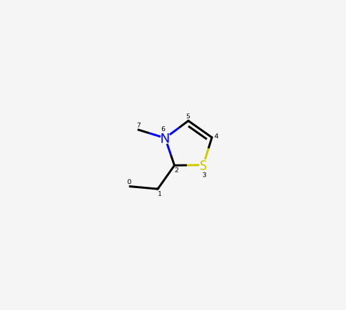 CCC1SC=CN1C